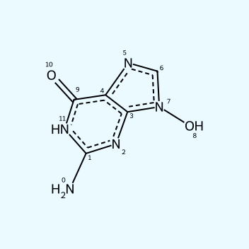 Nc1nc2c(ncn2O)c(=O)[nH]1